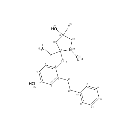 CCC1(Oc2ccccc2CCc2ccccc2)CC(O)(F)CN1C.Cl